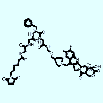 CC[C@@]1(O)C(=O)OCc2c1cc1n(c2=O)Cc2c-1nc1cc(F)c(C)cc1c2CN1CCC(COCNC(=O)CNC(=O)[C@H](Cc2ccccc2)NC(=O)CNC(=O)CNC(=O)CCCCCN2C(=O)C=CC2=O)CC1